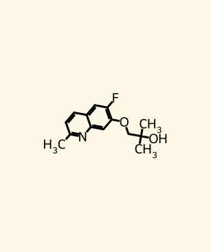 Cc1ccc2cc(F)c(OCC(C)(C)O)cc2n1